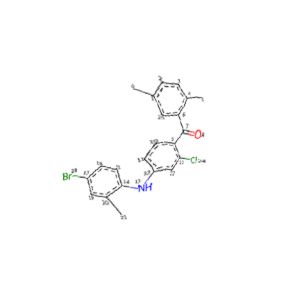 Cc1ccc(C)c(C(=O)c2ccc(Nc3ccc(Br)cc3C)cc2Cl)c1